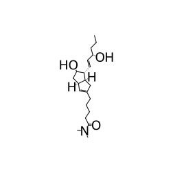 CCC[C@H](O)/C=C/[C@@H]1[C@H]2CC(CCCCC(=O)N(C)C)=C[C@H]2C[C@H]1O